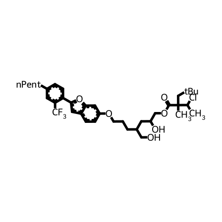 CCCCCc1ccc(-c2cc3ccc(OCCCC(CO)CC(O)COC(=O)C(C)(CC(C)(C)C)C(C)Cl)cc3o2)c(C(F)(F)F)c1